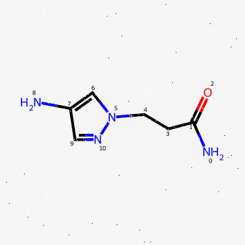 NC(=O)CCn1cc(N)cn1